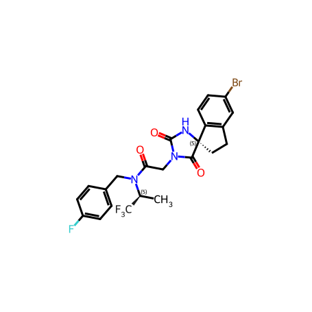 C[C@H](N(Cc1ccc(F)cc1)C(=O)CN1C(=O)N[C@]2(CCc3cc(Br)ccc32)C1=O)C(F)(F)F